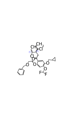 C=C/C(Cl)=C(C[C@H](OC(=O)COCc1ccccc1)c1ccc(OC(F)F)c(OCC2CC2)c1)\C(Cl)=C/C